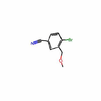 COCc1cc(C#N)ccc1Br